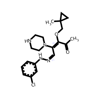 CC(=O)/C(OCC1(C)CC1)=C(\C=N/Nc1cccc(Cl)c1)N1CCNCC1